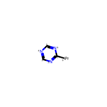 CC(C)c1ncncn1